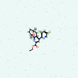 CCOC(=O)c1cc(-c2ncc(F)cc2F)c2c(n1)[C@@H]1CC[C@@H](C2)O1